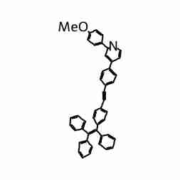 COc1ccc(-c2cc(-c3ccc(C#Cc4ccc(C(=C(c5ccccc5)c5ccccc5)c5ccccc5)cc4)cc3)ccn2)cc1